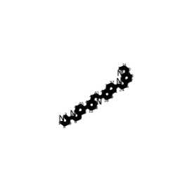 c1cncc(-c2ccc3cc(-c4ccc5nc(-c6ccc7cc(-c8ccc9ccc%10cccnc%10c9n8)ccc7c6)ccc5c4)ccc3n2)c1